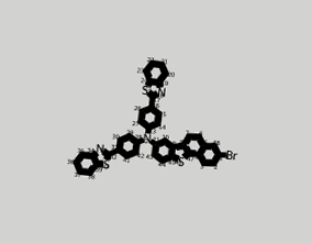 Brc1ccc2c(ccc3c4cc(N(c5ccc(-c6nc7ccccc7s6)cc5)c5ccc(-c6nc7ccccc7s6)cc5)ccc4sc23)c1